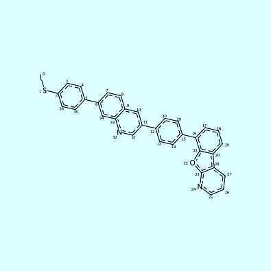 ISc1ccc(-c2ccc3cc(-c4ccc(-c5cccc6c5oc5ncccc56)cc4)cnc3c2)cc1